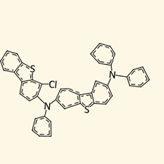 Clc1c(N(c2ccccc2)c2ccc3c(c2)sc2ccc(N(c4ccccc4)c4ccccc4)cc23)ccc2c1sc1ccccc12